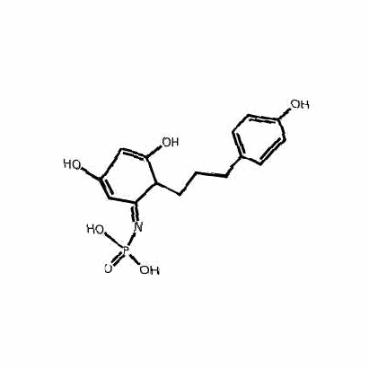 O=P(O)(O)/N=C1\C=C(O)C=C(O)C1CCCc1ccc(O)cc1